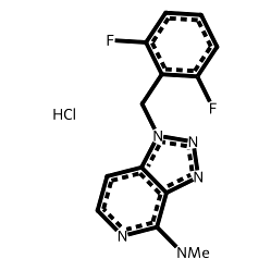 CNc1nccc2c1nnn2Cc1c(F)cccc1F.Cl